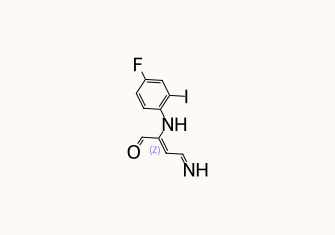 N=C/C=C(/C=O)Nc1ccc(F)cc1I